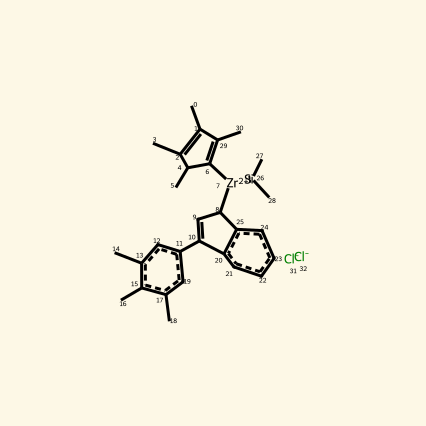 CC1=C(C)C(C)[C]([Zr+2]([CH]2C=C(c3cc(C)c(C)c(C)c3)c3ccccc32)=[Si](C)C)=C1C.[Cl-].[Cl-]